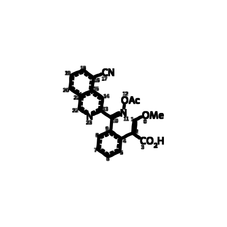 COC=C(C(=O)O)c1ccccc1C(=NOC(C)=O)c1cc2c(C#N)cccc2cn1